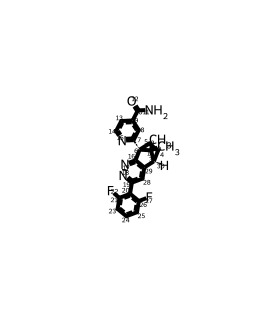 CC1(C)[C@H]2CC[C@]1(c1cc(C(N)=O)ccn1)c1nnc(-c3c(F)cccc3F)cc12